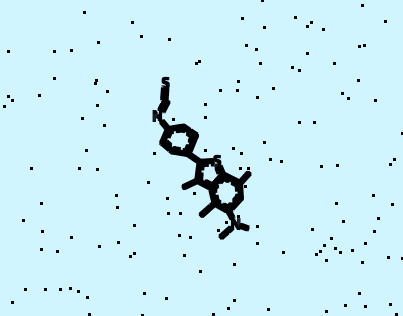 Cc1cc(N(C)C)c(C)c2c(C)c(-c3ccc(N=C=S)cc3)sc12